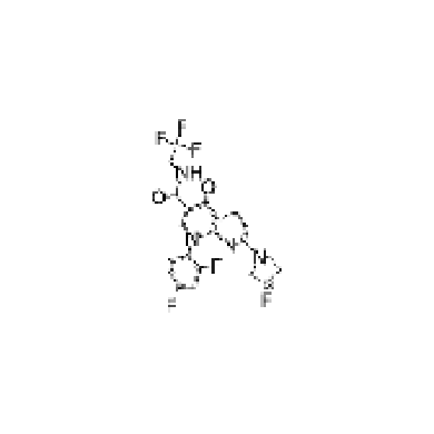 O=C(NCC(F)(F)F)c1cn(-c2ccc(F)cc2F)c2nc(N3CC[C@H](F)C3)ccc2c1=O